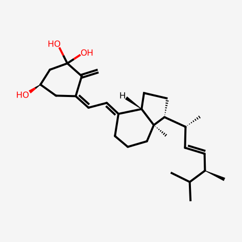 C=C1/C(=C\C=C2/CCC[C@]3(C)[C@@H]([C@H](C)/C=C/[C@@H](C)C(C)C)CC[C@@H]23)C[C@@H](O)CC1(O)O